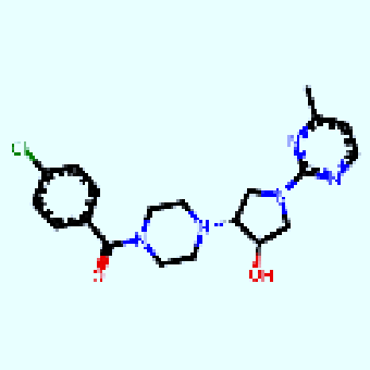 Cc1ccnc(N2C[C@@H](O)[C@H](N3CCN(C(=O)c4ccc(Cl)cc4)CC3)C2)n1